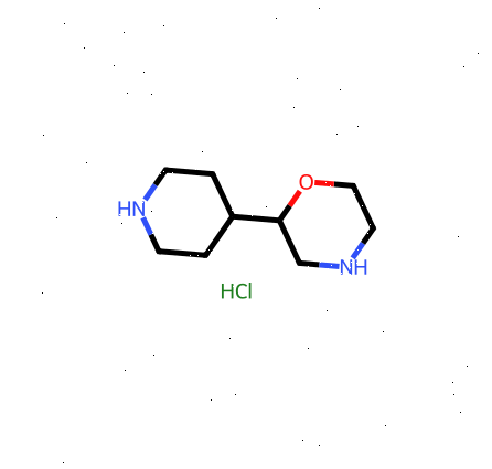 C1CC(C2CNCCO2)CCN1.Cl